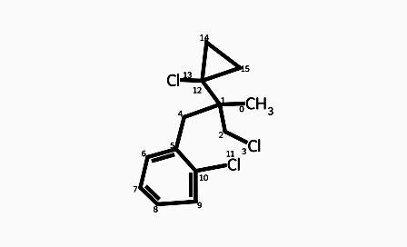 CC(CCl)(Cc1ccccc1Cl)C1(Cl)CC1